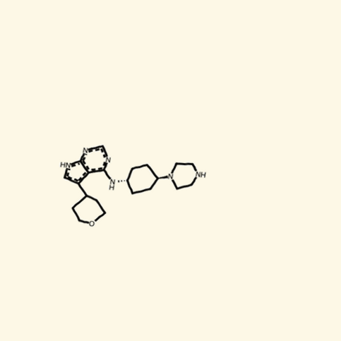 c1nc(N[C@H]2CC[C@H](N3CCNCC3)CC2)c2c(C3CCOCC3)c[nH]c2n1